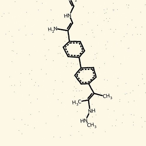 C=CN/C=C(\N)c1ccc(-c2ccc(/C(C)=C(\C)NNC)cc2)cc1